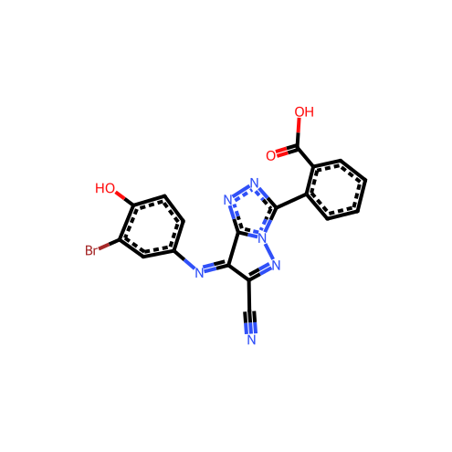 N#CC1=Nn2c(nnc2-c2ccccc2C(=O)O)C1=Nc1ccc(O)c(Br)c1